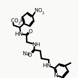 Cc1ccnc(NCCCC(=O)NCC(=O)NC(CC(=O)O)c2ccc([N+](=O)[O-])cc2)c1.[Na]